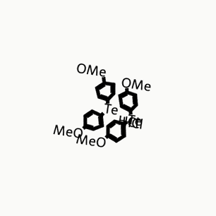 COc1ccc([Te]c2ccc(OC)cc2)cc1.COc1ccc([Te]c2ccc(OC)cc2)cc1.Cl.Cl